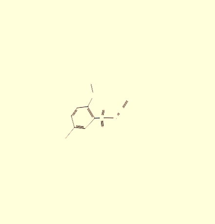 O=C=NS(=O)(=O)c1cc(Cl)ccc1OC(F)(F)F